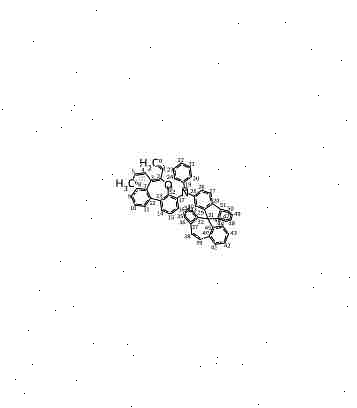 C=CC1=C(/C=C\C)c2ccccc2-c2cccc(N(c3ccccc3)c3ccc4c(c3)C3(c5ccccc5C=Cc5ccccc53)c3ccccc3-4)c2O1